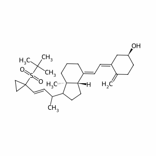 C=C1CC[C@H](O)C/C1=C/C=C1\CCC[C@]2(C)C(C(C)/C=C/C3(S(=O)(=O)C(C)(C)C)CC3)CC[C@@H]12